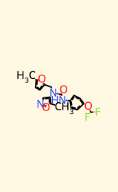 Cc1ccc(CN(C(=O)Nc2ccc(OC(F)F)cc2)c2cnoc2C)o1